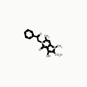 Cc1cc2c(c(O)c(C(=O)O)n2C)c(=O)n1CC(=O)c1ccccc1